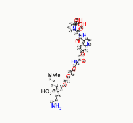 CNCCCCC(C(=O)O)C(CCCCN)CCOCCOCCOCCNC(=O)COc1ccc2c(C(=O)NCC(=O)N3CCCC3B(O)O)ccnc2c1